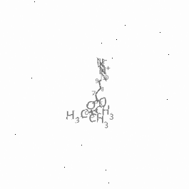 CC(C)(C)OC(=O)CCCN=[N+]=[N-]